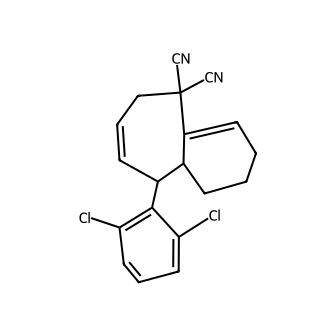 N#CC1(C#N)CC=CC(c2c(Cl)cccc2Cl)C2CCCC=C21